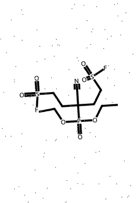 CCOP(=O)(OCC)C(C#N)(CCS(=O)(=O)F)CCS(=O)(=O)F